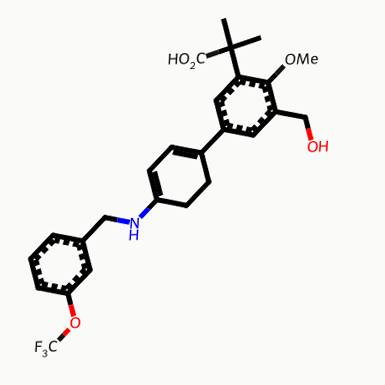 COc1c(CO)cc(C2=CC=C(NCc3cccc(OC(F)(F)F)c3)CC2)cc1C(C)(C)C(=O)O